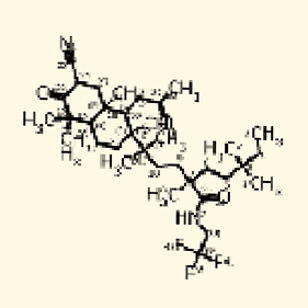 CCC(C)(C)CC[C@@](C)(CCC(C)(C)[C@]1(C)CC[C@H]2C(C)(C)C(=O)C(C#N)C[C@]2(C)[C@H]1CC(C)=O)C(=O)NCC(F)(F)F